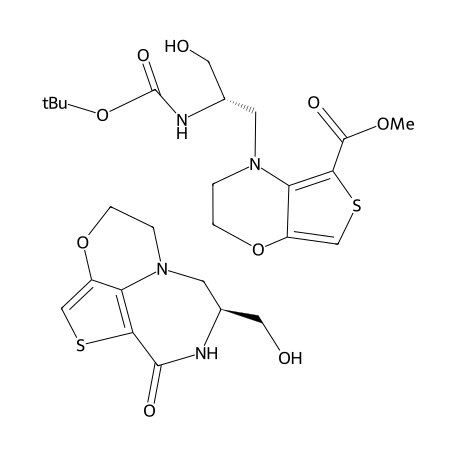 COC(=O)c1scc2c1N(C[C@@H](CO)NC(=O)OC(C)(C)C)CCO2.O=C1N[C@H](CO)CN2CCOc3csc1c32